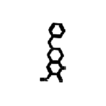 O=Cc1cc2c([nH]c1=O)CCN(Cc1ccccc1)C2